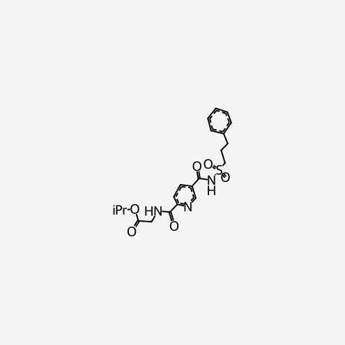 CC(C)OC(=O)CNC(=O)c1ccc(C(=O)NS(=O)(=O)CCCc2ccccc2)cn1